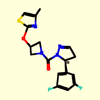 Cc1csc(OC2CN(C(=O)N3N=CC[C@H]3c3cc(F)cc(F)c3)C2)n1